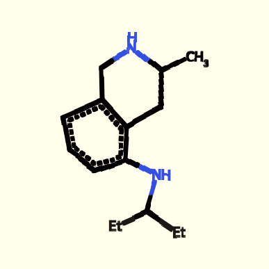 CCC(CC)Nc1cccc2c1CC(C)NC2